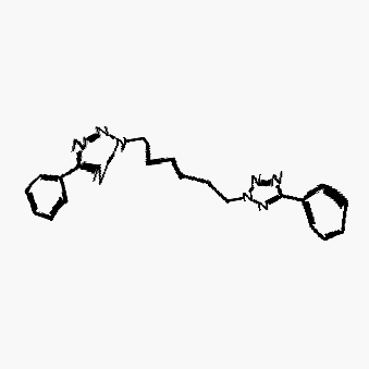 c1ccc(-c2nnn(CCCCCCn3nnc(-c4ccccc4)n3)n2)cc1